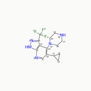 FC(F)(F)c1n[nH]c2ncc(C3CC3)c(N3CCNCC3)c12